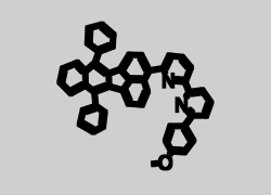 COc1ccc(-c2cccc(-c3cccc(-c4ccc5c6c(cccc46)-c4c-5c(-c5ccccc5)c5ccccc5c4-c4ccccc4)n3)n2)cc1